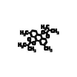 Cc1ccc2c(OC(=O)C(C)C)c3ccc(C)cc3c(OC(=O)C(C)C)c2c1